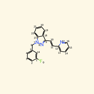 Fc1cccc(Cn2nc(C=Cc3ccccn3)c3ccccc32)c1